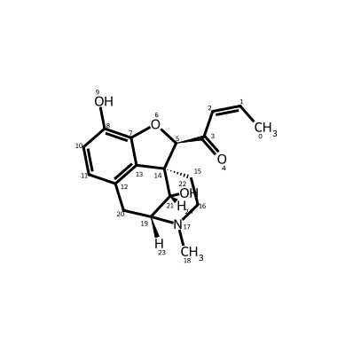 C/C=C\C(=O)[C@@H]1Oc2c(O)ccc3c2[C@@]12CCN(C)[C@H](C3)[C@H]2O